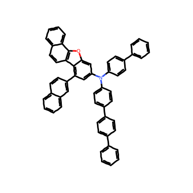 c1ccc(-c2ccc(-c3ccc(N(c4ccc(-c5ccccc5)cc4)c4cc(-c5ccc6ccccc6c5)c5c(c4)oc4c6ccccc6ccc45)cc3)cc2)cc1